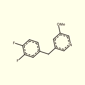 COc1cncc([CH]c2ccc(F)c(F)c2)c1